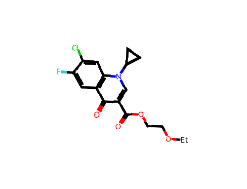 CCOCCOC(=O)c1cn(C2CC2)c2cc(Cl)c(F)cc2c1=O